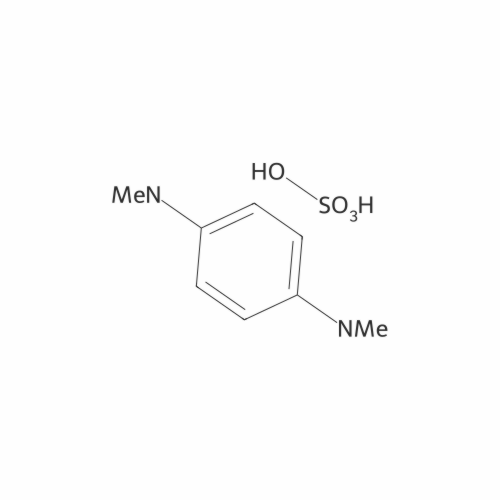 CNc1ccc(NC)cc1.O=S(=O)(O)O